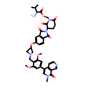 COc1cc(-c2cn(C)c(=O)c3cnccc23)cc(OC)c1CN1CC(Oc2ccc3c(c2)C(=O)N(C2CCC(=O)N(COC(=O)[C@@H](N)C(C)C)C2=O)C3=O)C1